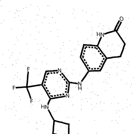 O=C1CCc2cc(Nc3ncc(C(F)(F)F)c(NC4CCC4)n3)ccc2N1